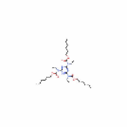 CCCCCCOC(=O)N(CC)c1nc(N(CC)C(=O)OCCCCCC)nc(N(CC)C(=O)OCCCCCC)n1